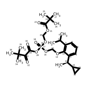 CC(C)c1cccc([C@H](C)C2CC2)c1OCOP(=O)(OCOC(=O)C(C)(C)C)OC(=O)C(=O)C(C)(C)C